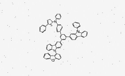 C1=C(c2ccccc2)SC(N(c2ccccc2)c2ccc(-c3cc(-c4ccc5c(c4)c4ccccc4n5-c4cccc5oc6ccccc6c45)cc(-c4ccc5c6ccccc6n(-c6ccccc6)c5c4)c3)cc2)C1